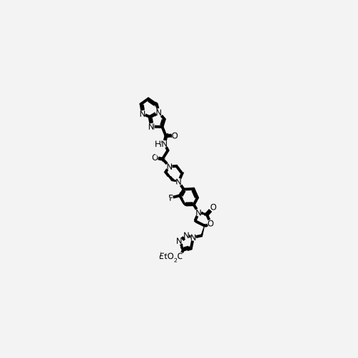 CCOC(=O)c1cn(C[C@H]2CN(c3ccc(N4CCN(C(=O)CNC(=O)c5cn6cccnc6n5)CC4)c(F)c3)C(=O)O2)nn1